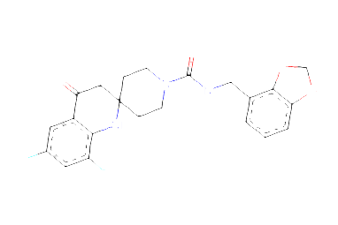 O=C1CC2(CCN(C(=O)NCc3cccc4c3OCO4)CC2)Nc2c(F)cc(F)cc21